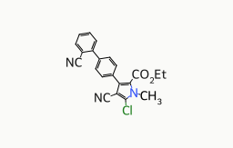 CCOC(=O)c1c(-c2ccc(-c3ccccc3C#N)cc2)c(C#N)c(Cl)n1C